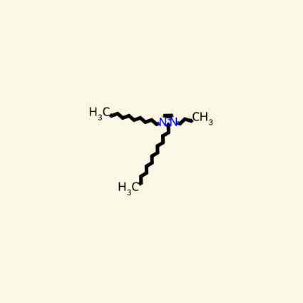 CCCCCCCCCCCCc1n(CCCC)cc[n+]1CCCCCCCCCC